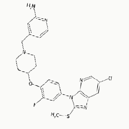 CSc1nc2cc(Cl)cnc2n1-c1ccc(OC2CCN(Cc3ccnc(N)c3)CC2)c(F)c1